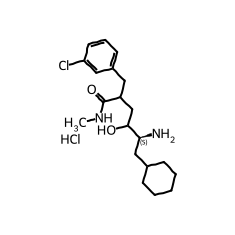 CNC(=O)C(Cc1cccc(Cl)c1)CC(O)[C@@H](N)CC1CCCCC1.Cl